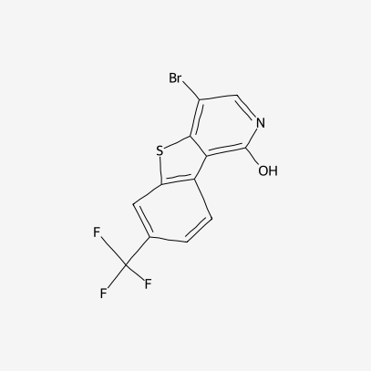 Oc1ncc(Br)c2sc3cc(C(F)(F)F)ccc3c12